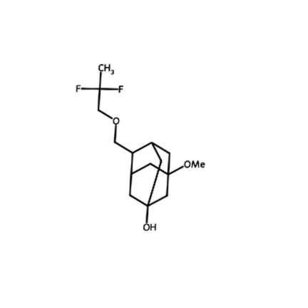 COC12CC3CC(O)(CC(C1)C3COCC(C)(F)F)C2